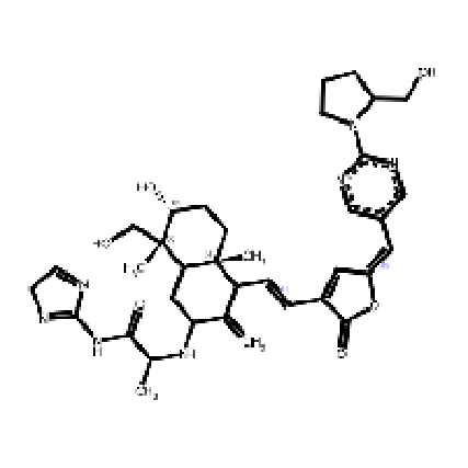 C=C1C(NC(C)C(=O)NC2=NCC=N2)CC2[C@](C)(CC[C@@H](O)[C@@]2(C)CO)C1/C=C/C1=CC(=C\c2cnc(N3CCCC3CO)nc2)/OC1=O